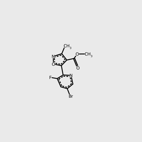 COC(=O)c1c(C)noc1-c1ncc(Br)cc1F